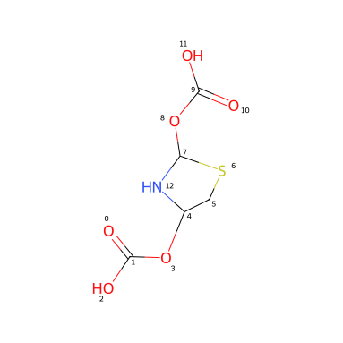 O=C(O)OC1CSC(OC(=O)O)N1